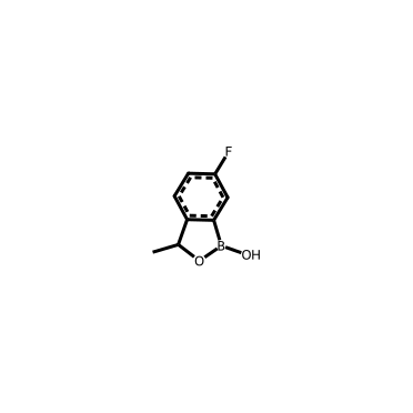 CC1OB(O)c2cc(F)ccc21